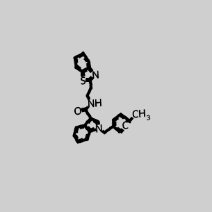 Cc1ccc(Cn2cc(C(=O)NCCc3nc4ccccc4s3)c3ccccc32)cc1